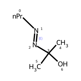 CCC/N=N/C(C)(C)O